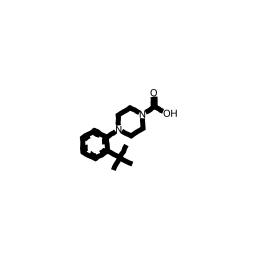 CC(C)(C)c1ccccc1N1CCN(C(=O)O)CC1